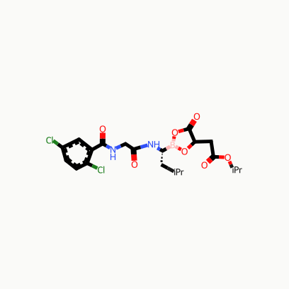 CC(C)C[C@H](NC(=O)CNC(=O)c1cc(Cl)ccc1Cl)B1OC(=O)C(CC(=O)OC(C)C)O1